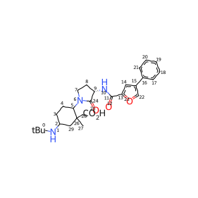 CC(C)(C)NC1CCC(N2CC[C@H](NC(=O)c3cc(-c4ccccc4)co3)C2=O)C(C)(C(=O)O)C1